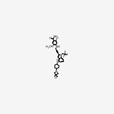 COc1cc(C(N)=O)c(F)cc1NCC#Cc1cc2c(NC3CCC(N4CC5(COC5)C4)CC3)cccc2n1CC(F)(F)F